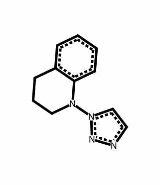 c1ccc2c(c1)CCCN2n1ccnn1